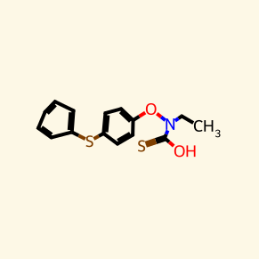 CCN(Oc1ccc(Sc2ccccc2)cc1)C(O)=S